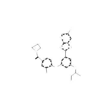 CC(CO)Oc1cc(Oc2ccc(C(=O)N3CCC3)cc2F)cc(-c2nc3cc(Cl)cnc3[nH]2)c1